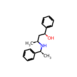 C[C@H](N[C@@H](C)C[C@H](O)c1ccccc1)c1ccccc1